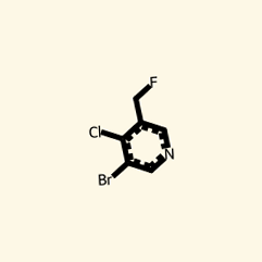 FCc1cncc(Br)c1Cl